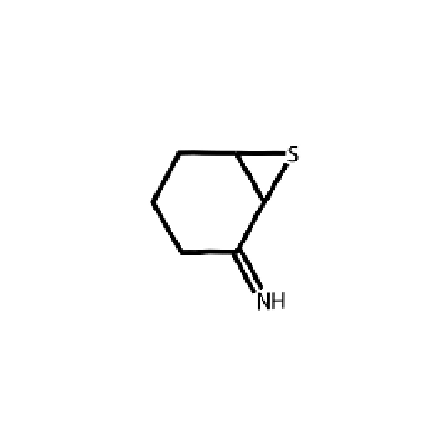 N=C1CCCC2SC12